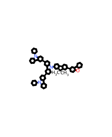 CC1(C)c2cc(-c3ccc4oc5ccccc5c4c3)ccc2-c2ccc(-n3c4ccc(-c5ccc6c(c5)c5ccccc5n6-c5ccccc5)cc4c4cc(-c5ccc6c(c5)c5ccccc5n6-c5ccccc5)ccc43)cc21